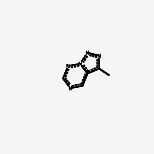 Cc1nnn2ncncc12